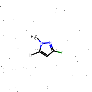 CCc1cc(F)nn1C